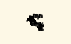 CCOC(=O)c1cc(I)c(C)n1CCNC(=O)OC(C)(C)C